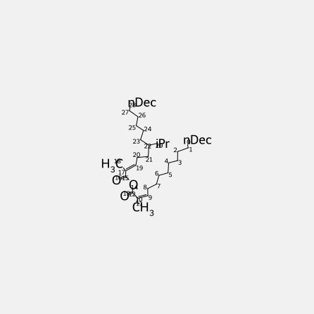 CCCCCCCCCCCCCCCCCCC=C(C)C(=O)OC(=O)C(C)=CCCC(CCCCCCCCCCCCCCC)C(C)C